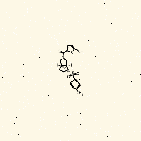 Cc1ccc(S(=O)(=O)O[C@H]2CC[C@H]3CN(C(=O)c4ccc(C)s4)C[C@H]32)cc1